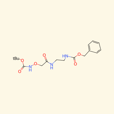 CC(C)(C)OC(=O)NOCC(=O)NCCNC(=O)OCc1ccccc1